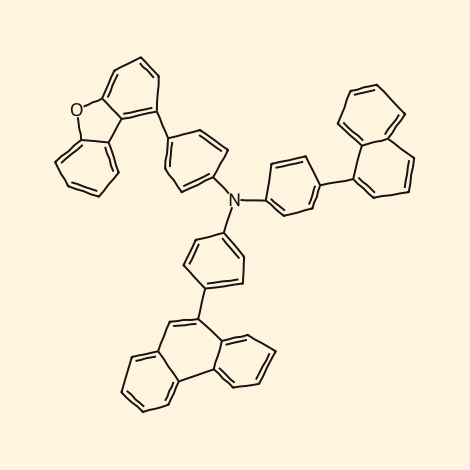 c1ccc2c(-c3ccc(N(c4ccc(-c5cc6ccccc6c6ccccc56)cc4)c4ccc(-c5cccc6oc7ccccc7c56)cc4)cc3)cccc2c1